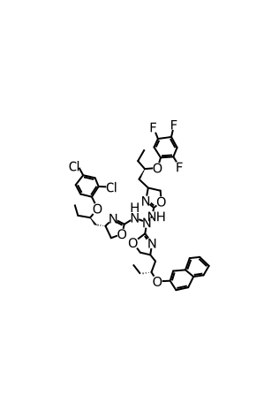 CC[C@H](CC1COC(N(NC2=NC(C[C@@H](CC)Oc3cc(F)c(F)cc3F)CO2)NC2=N[C@@H](C[C@@H](CC)Oc3ccc(Cl)cc3Cl)CO2)=N1)Oc1ccc2ccccc2c1